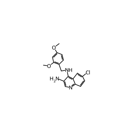 COc1ccc(CNc2c(N)cnc3ccc(Cl)cc23)c(OC)c1